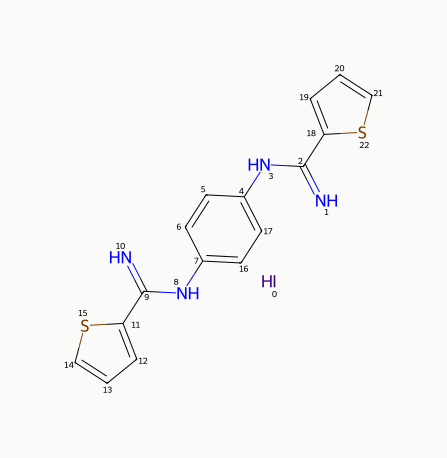 I.N=C(Nc1ccc(NC(=N)c2cccs2)cc1)c1cccs1